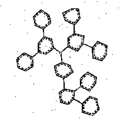 c1ccc(-c2cc(-c3ccccc3)cc(N(c3ccc(-c4cccc(-c5ccccc5)c4-c4ccccc4)cc3)c3cc(-c4ccccc4)cc(-c4ccccc4)c3)c2)cc1